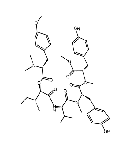 CC[C@@H](C)[C@@H](OC(=O)[C@H](Cc1ccc(OC)cc1)N(C)C)C(=O)N[C@@H](C(=O)N(C)[C@H](Cc1ccc(O)cc1)C(=O)N(C)[C@H](Cc1ccc(O)cc1)C(=O)OC)C(C)C